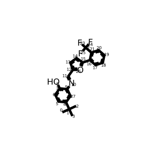 CC(C)(C)c1ccc(O)c(/N=C/c2ccc(-c3ccccc3C(F)(F)F)o2)c1